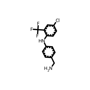 NCc1ccc(Nc2ccc(Cl)cc2C(F)(F)F)cc1